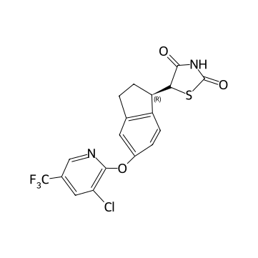 O=C1NC(=O)C([C@@H]2CCc3cc(Oc4ncc(C(F)(F)F)cc4Cl)ccc32)S1